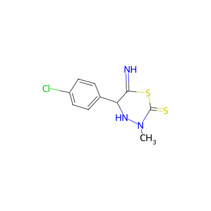 CN1NC(c2ccc(Cl)cc2)C(=N)SC1=S